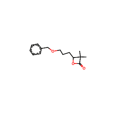 CC1(C)C(=O)OC1CCCOCc1ccccc1